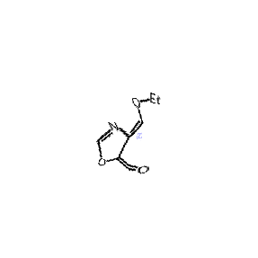 CCO/C=C1\N=COC1=O